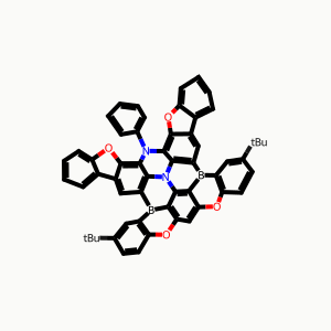 CC(C)(C)c1ccc2c(c1)B1c3cc4c(oc5ccccc54)c4c3N3c5c1c(cc1c5B(c5cc(C(C)(C)C)ccc5O1)c1cc5c(oc6ccccc65)c(c13)N4c1ccccc1)O2